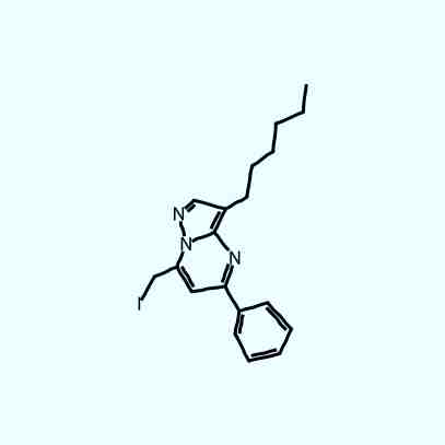 CCCCCCc1cnn2c(CI)cc(-c3ccccc3)nc12